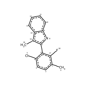 Cc1ccc(Cl)c(-c2nc3ccccc3n2C)c1F